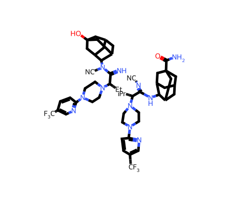 CC(C)C(C(=NC#N)NC1C2CC3CC1CC(C(N)=O)(C3)C2)N1CCN(c2ccc(C(F)(F)F)cn2)CC1.CCC(C(=N)N(C#N)C1C2CC3CC1CC(O)(C3)C2)N1CCN(c2ccc(C(F)(F)F)cn2)CC1